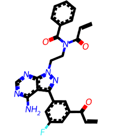 C=CC(=O)c1cc(F)cc(-c2nn(CCN(C(=O)C=C)C(=O)c3ccccc3)c3ncnc(N)c23)c1